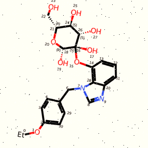 CCOc1ccc(Cn2cnc3cccc(O[C@]4(O)[C@H](O)O[C@H](CO)[C@@H](O)[C@@H]4O)c32)cc1